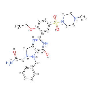 CCOc1ccc(S(=O)(=O)N2CCN(C)CC2)cc1-c1nc2c(c(=O)[nH]1)N(Cc1ccccc1)N(CC(N)=O)C2